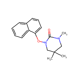 CN1CC(C)(C)CN(Oc2cccc3ccccc23)C1=O